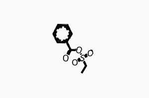 CCS(=O)(=O)OC(=O)c1ccccc1